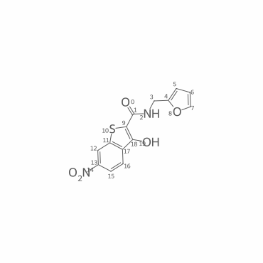 O=C(NCc1ccco1)c1sc2cc([N+](=O)[O-])ccc2c1O